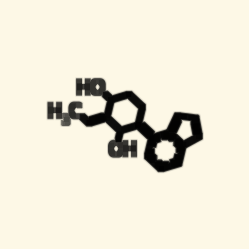 CC=C1C(O)CCC(=c2cccc3c2=CC=C3)C1O